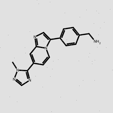 Cn1ncnc1-c1ccn2c(-c3ccc(CN)cc3)cnc2c1